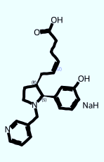 O=C(O)CC/C=C\C[C@@H]1CCN(Cc2cccnc2)[C@@H]1c1cccc(O)c1.[NaH]